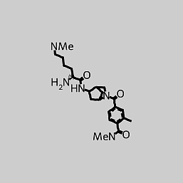 CNCCCC[C@H](N)C(=O)NC1CC2CC1CN2C(=O)c1ccc(C(=O)NC)c(C)c1